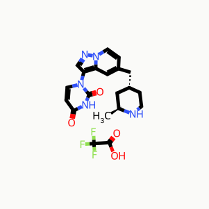 C[C@H]1C[C@H](Cc2ccn3ncc(-n4ccc(=O)[nH]c4=O)c3c2)CCN1.O=C(O)C(F)(F)F